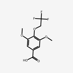 COc1cc(C(=O)O)cc(OC)c1OCC(F)(F)F